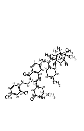 C[C@@H]1[C@@H](/N=C(/Nc2ccc3c(=O)n(CCc4ccc(Cl)cc4Cl)c(N4CC(=O)N[C@@H](C)C4)nc3c2)N2CCN(C)CC2)C[C@@H]2C[C@H]1C2(C)C